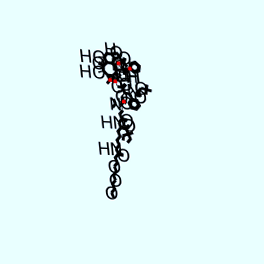 CCC(C)(CC)C(=O)C(CCCCNC(=O)CCOCCOCCOC)NC(=O)CC[C@@H](C(=O)O[C@@H](C(=O)O[C@H]1C[C@@]2(O)[C@@H](OC(=O)c3ccccc3)[C@@H]3[C@]4(OC(C)=O)CO[C@@H]4C[C@H](O)[C@@]3(C)C(=O)[C@H](O)C(=C1C)C2(C)C)[C@@H](NC(=O)OC(C)(C)C)c1ccccc1)N(C)C